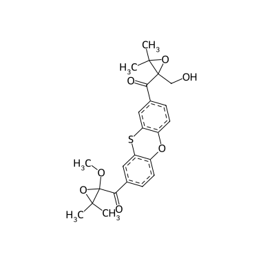 COC1(C(=O)c2ccc3c(c2)Sc2cc(C(=O)C4(CO)OC4(C)C)ccc2O3)OC1(C)C